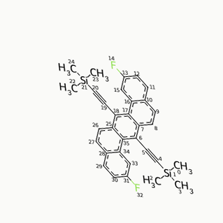 C[Si](C)(C)C#Cc1c2ccc3ccc(F)cc3c2c(C#C[Si](C)(C)C)c2ccc3ccc(F)cc3c12